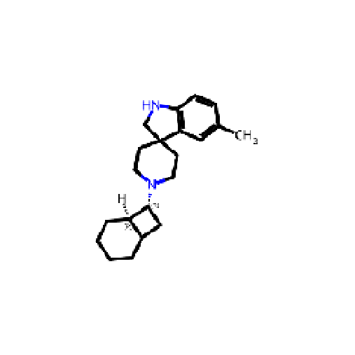 Cc1ccc2c(c1)C1(CCN([C@@H]3CC4CCCC[C@H]43)CC1)CN2